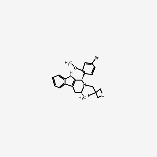 COc1cc(Br)ccc1[C@@H]1c2[nH]c3ccccc3c2C[C@@H](C)N1CC1(F)COC1